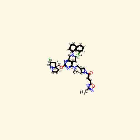 Cc1noc(/C=C/C(=O)N2CC(CN(C)c3nc(OC[C@@]45CCCN4C[C@H](F)C5)nc4c3CCN(c3cccc5cccc(Cl)c35)C4)C2)n1